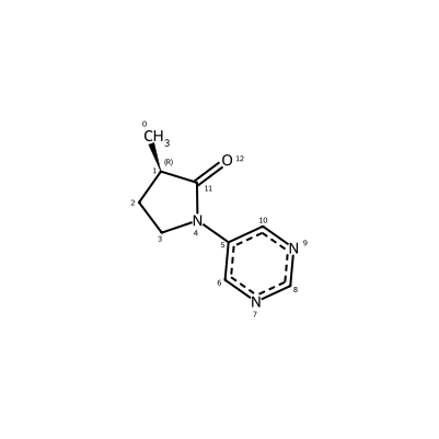 C[C@@H]1CCN(c2cncnc2)C1=O